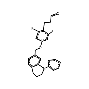 O=CCCc1c(F)cc(OCc2ccc3c(c2)N(c2ccccc2)CCC3)cc1F